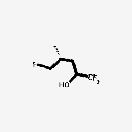 C[C@@H](CF)CC(O)C(F)(F)F